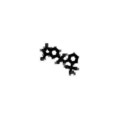 CS(=O)(=O)c1ccccc1OS(=O)(=O)c1ccc2[nH]nc(Cl)c2c1